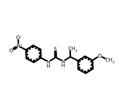 COc1cccc(C(C)NC(=S)Nc2ccc([N+](=O)[O-])cc2)c1